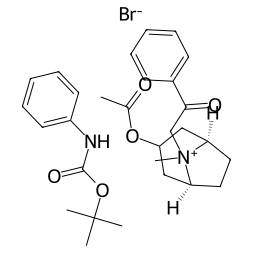 CC(=O)OC1C[C@H]2CC[C@@H](C1)[N+]2(C)CC(=O)c1ccccc1.CC(C)(C)OC(=O)Nc1ccccc1.[Br-]